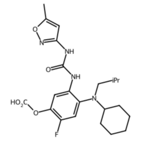 Cc1cc(NC(=O)Nc2cc(OC(=O)O)c(F)cc2N(CC(C)C)C2CCCCC2)no1